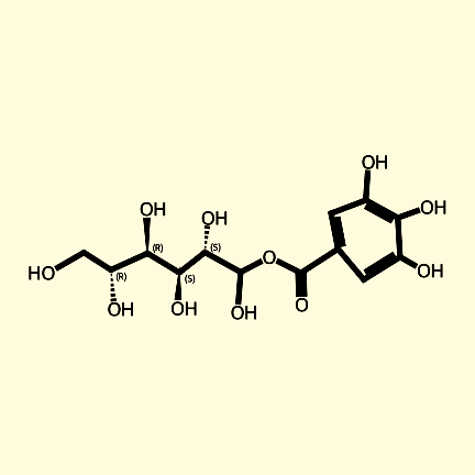 O=C(OC(O)[C@@H](O)[C@@H](O)[C@H](O)[C@H](O)CO)c1cc(O)c(O)c(O)c1